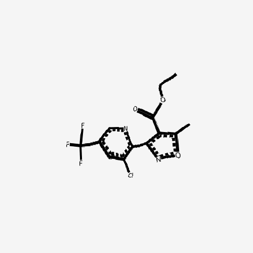 CCOC(=O)c1c(-c2ncc(C(F)(F)F)cc2Cl)noc1C